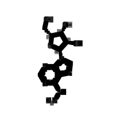 NNc1ncnc2c1ncn2[C@@H]1O[C@H](CO)[C@H](O)[C@H]1O